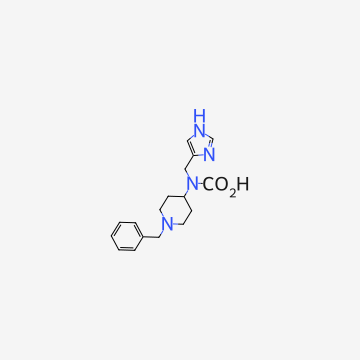 O=C(O)N(Cc1c[nH]cn1)C1CCN(Cc2ccccc2)CC1